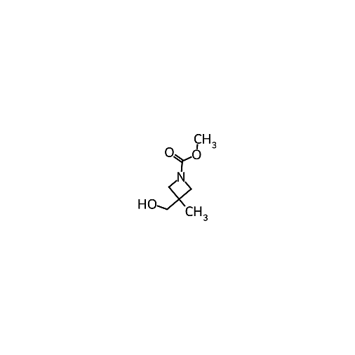 COC(=O)N1CC(C)(CO)C1